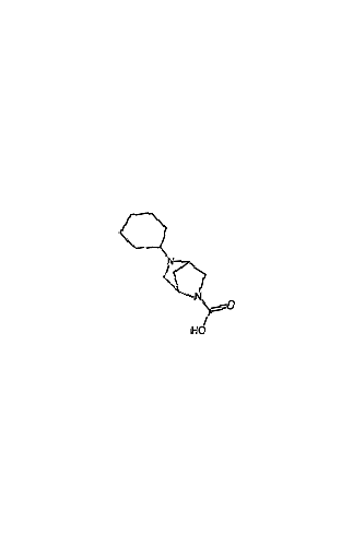 O=C(O)N1CC2CC1CN2C1CCCCC1